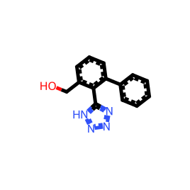 OCc1cccc(-c2ccccc2)c1-c1nnn[nH]1